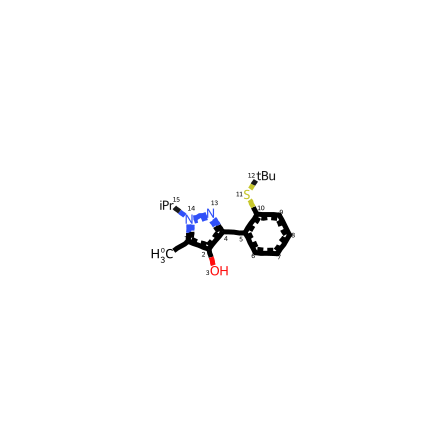 Cc1c(O)c(-c2ccccc2SC(C)(C)C)nn1C(C)C